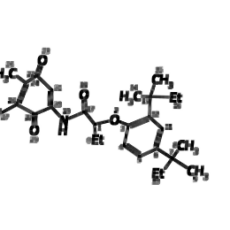 CCC(Oc1ccc(C(C)(C)CC)cc1C(C)(C)CC)C(=O)NC1=CC(=O)C(C)=C(Cl)C1=O